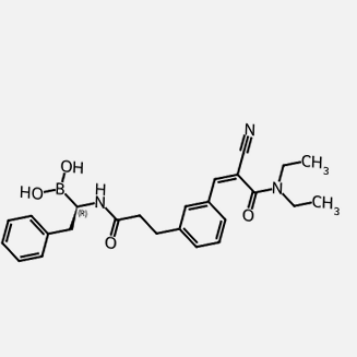 CCN(CC)C(=O)C(C#N)=Cc1cccc(CCC(=O)N[C@@H](Cc2ccccc2)B(O)O)c1